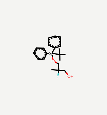 CC(F)(CO)CO[Si](c1ccccc1)(c1ccccc1)C(C)(C)C